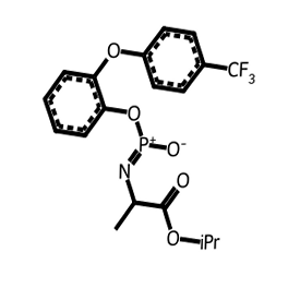 CC(C)OC(=O)C(C)/N=[P+](\[O-])Oc1ccccc1Oc1ccc(C(F)(F)F)cc1